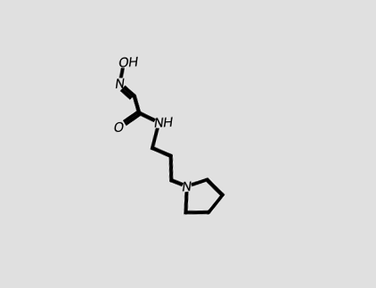 O=C(C=NO)NCCCN1CCCC1